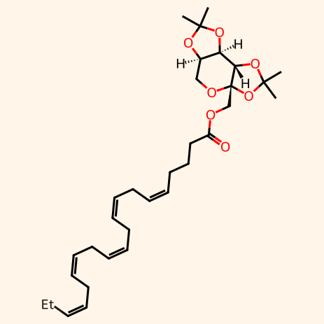 CC/C=C\C/C=C\C/C=C\C/C=C\C/C=C\CCCC(=O)OC[C@@]12OC[C@H]3OC(C)(C)O[C@H]3[C@@H]1OC(C)(C)O2